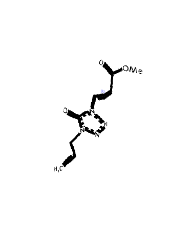 C=CCn1nnn(/C=C/C(=O)OC)c1=O